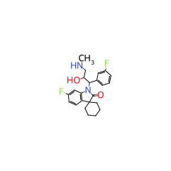 CNCC(O)C(c1cccc(F)c1)N1C(=O)C2(CCCCC2)c2ccc(F)cc21